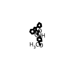 CC(=O)c1ccc(NC(=O)C(=O)c2c(-c3ccccc3)cc3ccccn23)cc1